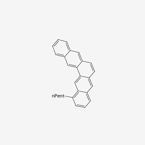 CCCCCc1cccc2cc3ccc4cc5ccccc5cc4c3cc12